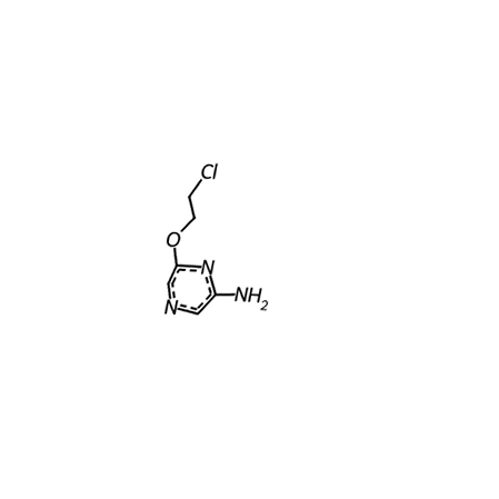 Nc1cncc(OCCCl)n1